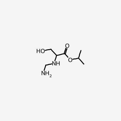 CC(C)OC(=O)C(CO)NCN